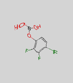 OB(O)Oc1ccc(F)c(F)c1F